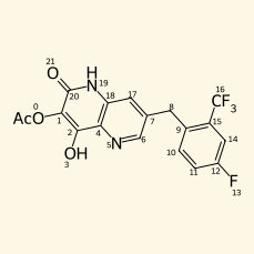 CC(=O)Oc1c(O)c2ncc(Cc3ccc(F)cc3C(F)(F)F)cc2[nH]c1=O